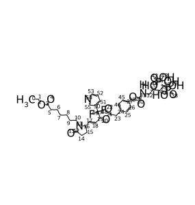 CCOC(=O)CCCCCCN1C(=O)CC[C@@H]1/C=C/[C@@H](OC(=O)Cc1ccc(OC(=O)NCCCC(O)(P(=O)(O)O)P(=O)(O)O)cc1)C(F)(F)c1cccnc1